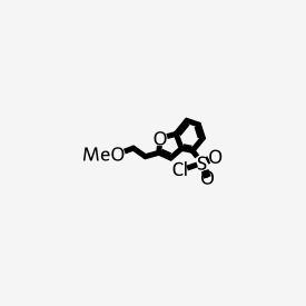 COCCc1cc2c(S(=O)(=O)Cl)cccc2o1